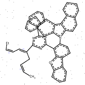 C/C=C\C/C(=C\C=C/CC)c1nc(-c2ccccc2)nc(-c2c(-n3c4cc5ccccc5cc4c4c5ccccc5ccc43)ccc3c2oc2ccccc23)n1